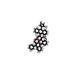 Cc1cscc1-c1c2ccccc2c(C2=CCCC3=C2CSc2cccc(-c4c5ccccc5c(-c5ccccc5)c5ccccc45)c23)c2ccccc12